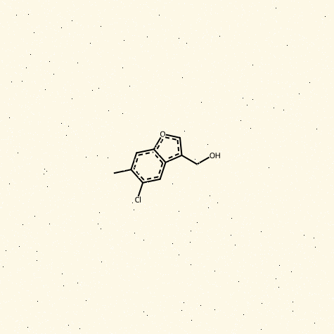 Cc1cc2occ(CO)c2cc1Cl